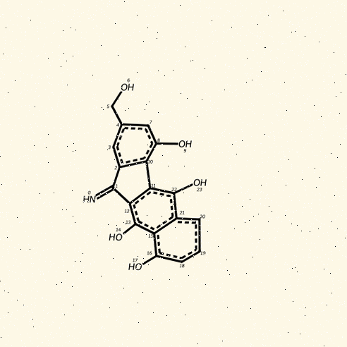 N=C1c2cc(CO)cc(O)c2-c2c1c(O)c1c(O)cccc1c2O